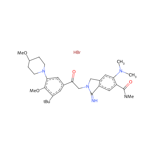 Br.CNC(=O)c1cc2c(cc1N(C)C)CN(CC(=O)c1cc(N3CCC(OC)CC3)c(OC)c(C(C)(C)C)c1)C2=N